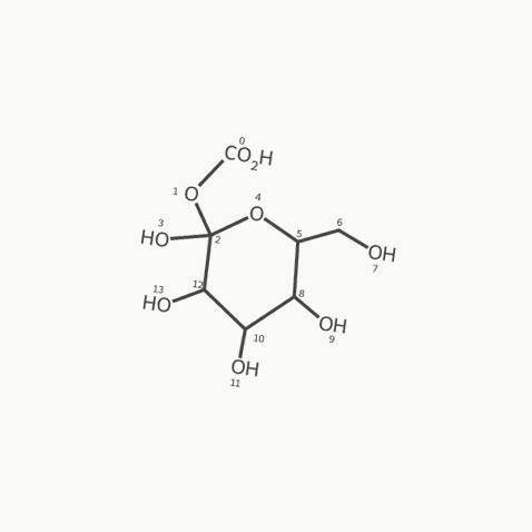 O=C(O)OC1(O)OC(CO)C(O)C(O)C1O